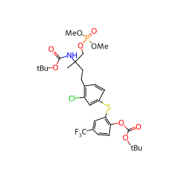 COP(=O)(OC)OCC(C)(CCc1ccc(Sc2cc(C(F)(F)F)ccc2OC(=O)OC(C)(C)C)cc1Cl)NC(=O)OC(C)(C)C